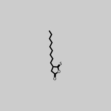 CCCCCCCCCC1CC(=O)OC1=S